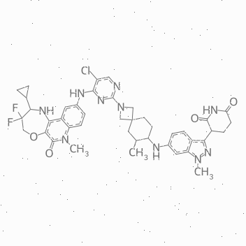 CC1CC2(CCC1Nc1ccc3c(C4CCC(=O)NC4=O)nn(C)c3c1)CN(c1ncc(Cl)c(Nc3ccc4c(c3)c3c(c(=O)n4C)OCC(F)(F)C(C4CC4)N3)n1)C2